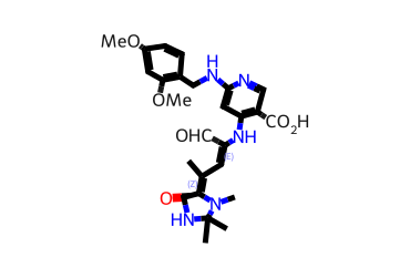 COc1ccc(CNc2cc(N/C(C=O)=C/C(C)=C3/C(=O)NC(C)(C)N3C)c(C(=O)O)cn2)c(OC)c1